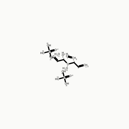 C=C.C=CCOCC=C.O.O.O.O=P(O)(O)O.O=P(O)(O)O